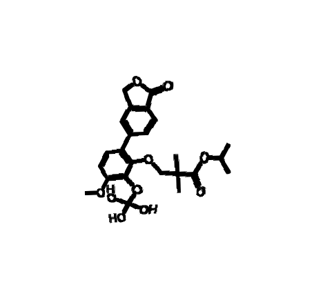 COc1ccc(-c2ccc3c(c2)COC3=O)c(OCC(C)(C)C(=O)OC(C)C)c1OC(O)(O)O